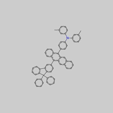 Cc1cccc(N(c2ccc(-c3c4ccccc4c(-c4ccc5c(c4)-c4ccccc4C5(c4ccccc4)c4ccccc4)c4cc5ccccc5cc34)cc2)c2cccc(C)c2)c1